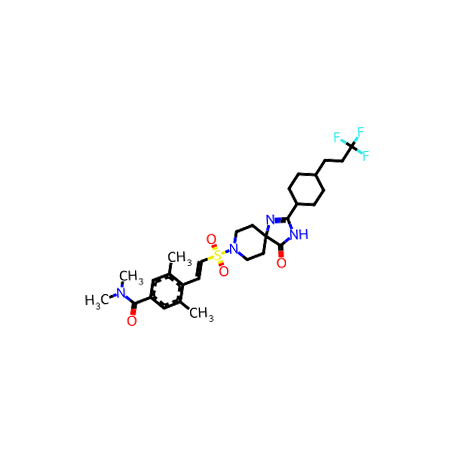 Cc1cc(C(=O)N(C)C)cc(C)c1/C=C/S(=O)(=O)N1CCC2(CC1)N=C(C1CCC(CCC(F)(F)F)CC1)NC2=O